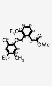 CCc1cc(Cl)c(OCc2c(CC(=O)OC)cccc2C(F)(F)F)cc1C